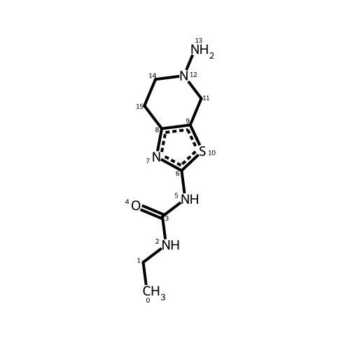 CCNC(=O)Nc1nc2c(s1)CN(N)CC2